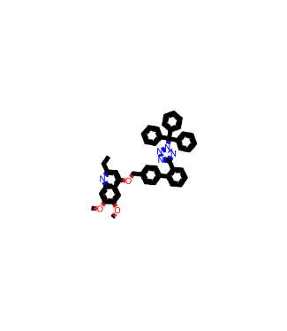 CCc1cc(OCc2ccc(-c3ccccc3-c3nnn(C(c4ccccc4)(c4ccccc4)c4ccccc4)n3)cc2)c2cc(OC)c(OC)cc2n1